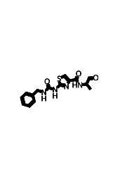 CC(C=O)NC(=O)c1csc(NC(=O)NCc2ccccc2)n1